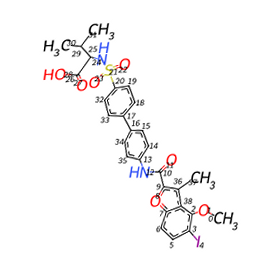 COc1c(I)ccc2oc(C(=O)Nc3ccc(-c4ccc(S(=O)(=O)NC(C(=O)O)C(C)C)cc4)cc3)c(C)c12